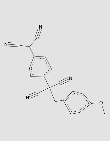 COc1ccc(CC(C#N)(C#N)c2ccc(C(C#N)C#N)cc2)cc1